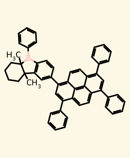 CC12CCCCC1(C)c1cc(-c3cc(-c4ccccc4)c4ccc5c(-c6ccccc6)cc(-c6ccccc6)c6ccc3c4c56)ccc1B2c1ccccc1